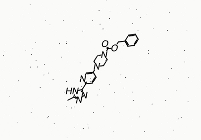 Cc1nnc(-c2ccc(N3CCN(C(=O)OCc4ccccc4)CC3)cn2)[nH]1